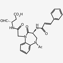 CC(=O)N1C[C@H](NC(=O)/C=C/c2ccccc2)C(=O)N(CC(=O)N[C@H](C=O)CC(=O)O)c2ccccc21